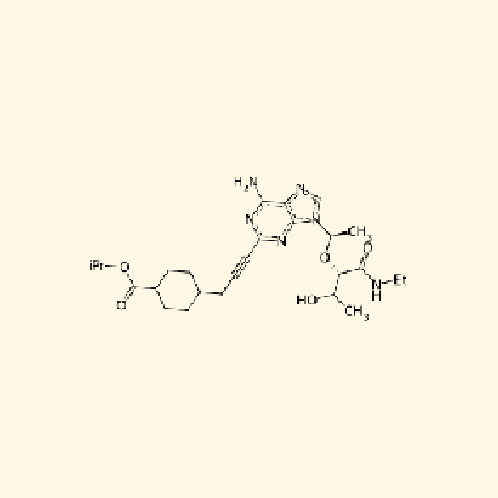 CCNC(=O)[C@@H](O[C@H](C)n1cnc2c(N)nc(C#CCC3CCC(C(=O)OC(C)C)CC3)nc21)C(C)O